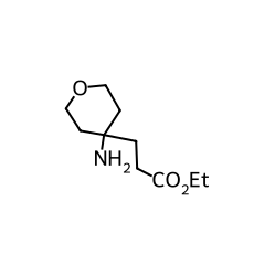 CCOC(=O)CCC1(N)CCOCC1